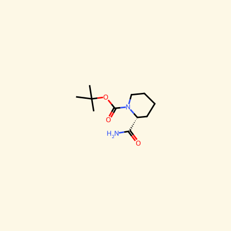 CC(C)(C)OC(=O)N1CCCC[C@@H]1C(N)=O